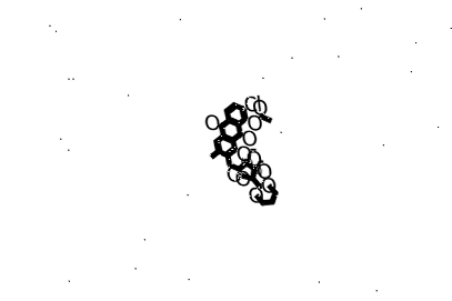 CO[C@@]12Oc3c4c(cc(C)c3C3OC(C5OCCCO5)(OC31)[C@]21CO1)C(=O)c1ccc(Cl)c(OC(C)=O)c1C4=O